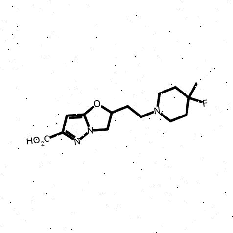 CC1(F)CCN(CCC2Cn3nc(C(=O)O)cc3O2)CC1